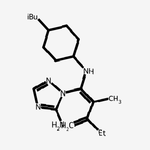 C=C(CC)/C(C)=C(/NC1CCC(C(C)CC)CC1)n1ncnc1N